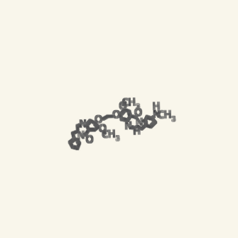 CNc1ccc2c(c1)N1C(=O)c3cc(OC)c(OCCCOc4cc5c(cc4OC)C(=O)N4c6ccccc6CC4C=N5)cc3N=C[C@@H]1C2